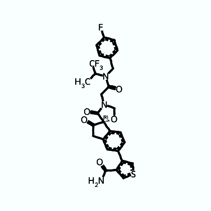 CC(N(Cc1ccc(F)cc1)C(=O)CN1CO[C@]2(C(=O)Cc3cc(-c4cscc4C(N)=O)ccc32)C1=O)C(F)(F)F